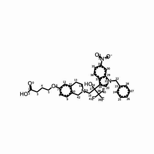 O=C(O)CCCOc1ccc2c(c1)CCN(CC(O)(c1cn(Cc3ccccc3)c3cc([N+](=O)[O-])ccc13)C(F)(F)F)C2